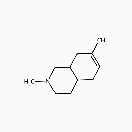 CC1=CCC2CCN(C)CC2C1